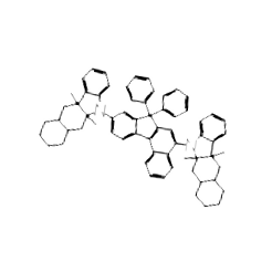 CC12CC3CCCCC3CC1(C)N(c1ccc3c(c1)C(c1ccccc1)(c1ccccc1)c1cc(N4c5ccccc5C5(C)CC6CCCCC6CC45C)c4ccccc4c1-3)c1ccccc12